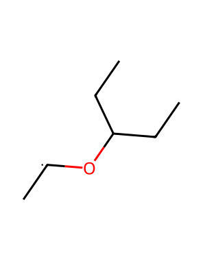 C[CH]OC(CC)CC